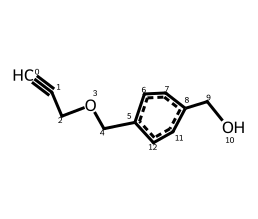 C#CCOCc1ccc(CO)cc1